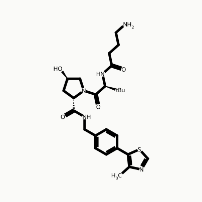 Cc1ncsc1-c1ccc(CNC(=O)[C@@H]2C[C@@H](O)CN2C(=O)[C@@H](NC(=O)CCCN)C(C)(C)C)cc1